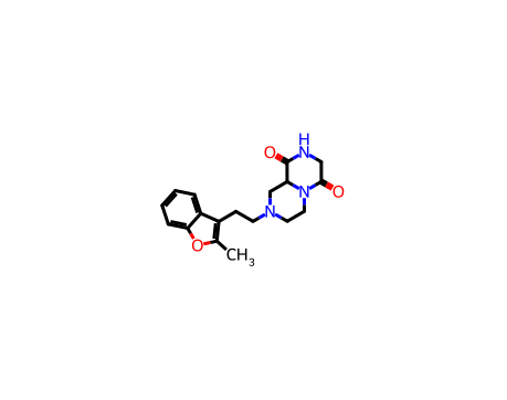 Cc1oc2ccccc2c1CCN1CCN2C(=O)CNC(=O)C2C1